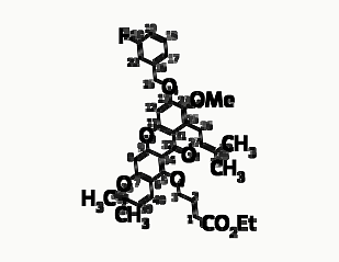 CCOC(=O)/C=C/COc1c2c(cc3oc4cc(OCc5cccc(F)c5)c(OC)c(CC=C(C)C)c4c(=O)c13)OC(C)(C)C=C2